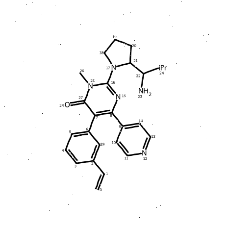 C=Cc1cccc(-c2c(-c3ccncc3)nc(N3CCCC3C(N)C(C)C)n(C)c2=O)c1